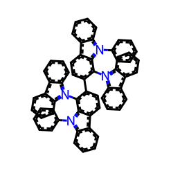 c1ccc(-n2c3ccccc3c3ccc(-c4ccc5c6ccccc6n(-c6ccccc6)c5c4-n4c5ccccc5c5ccccc54)c(-n4c5ccccc5c5ccccc54)c32)cc1